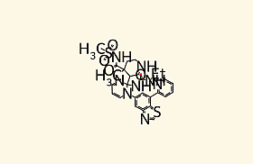 CCNC(=O)NC1(C2CNCCC2(C)C(=O)NS(C)(=O)=O)N=CC=CN1c1cc(-c2ccccn2)c2scnc2c1